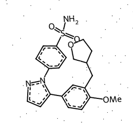 COc1ccc(-c2ccnn2-c2ccc(S(N)(=O)=O)cc2)cc1CC1CCOC1